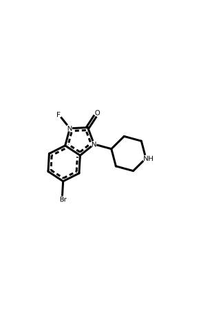 O=c1n(F)c2ccc(Br)cc2n1C1CCNCC1